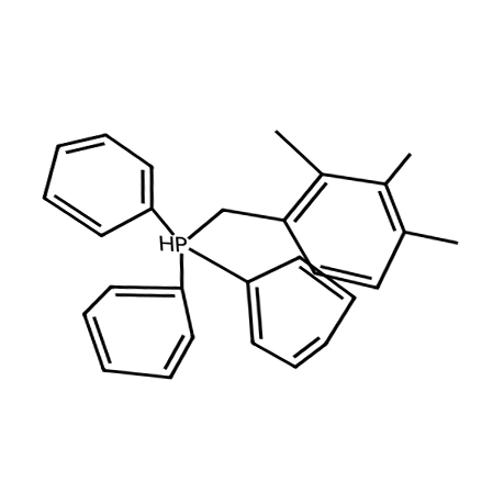 Cc1ccc(C[PH](c2ccccc2)(c2ccccc2)c2ccccc2)c(C)c1C